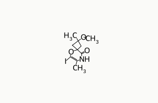 COC1(C)CC2(C1)OC(I)=C(C)NC2=O